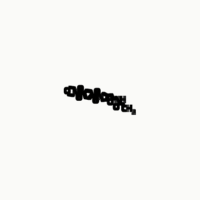 C=CC(=O)Nc1cc2c(o1)CN(S(=O)(=O)c1ccc(S(=O)(=O)N3CCOCC3)cc1)C2